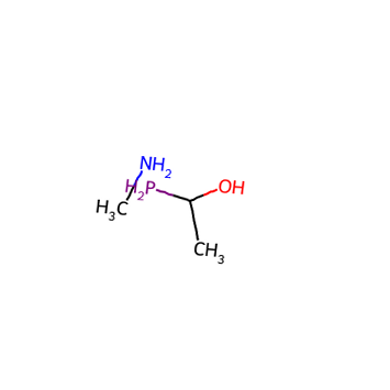 CC(O)P.CN